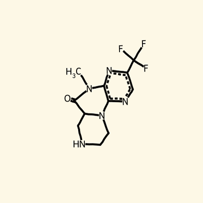 CN1C(=O)C2CNCCN2c2ncc(C(F)(F)F)nc21